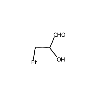 CCCC(O)C=O